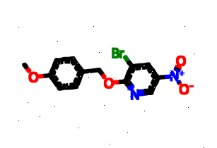 COc1ccc(COc2ncc([N+](=O)[O-])cc2Br)cc1